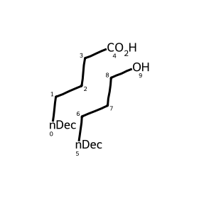 CCCCCCCCCCCCCC(=O)O.CCCCCCCCCCCCCO